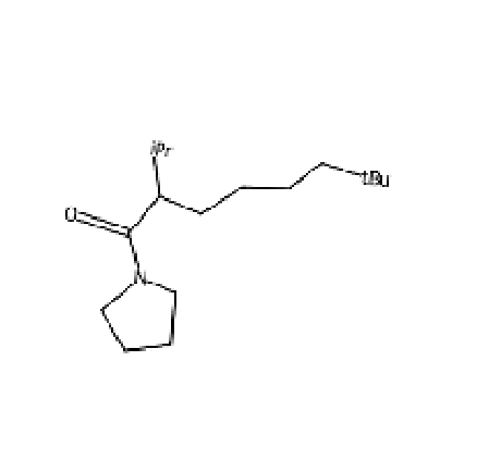 CC(C)C(CCCCC(C)(C)C)C(=O)N1CCCC1